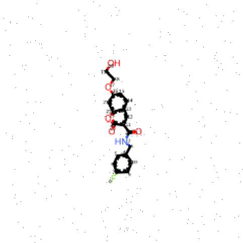 O=C(NCc1ccc(F)cc1)c1cc2ccc(OCCO)cc2oc1=O